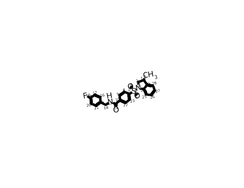 CC1CN(S(=O)(=O)c2ccc(C(=O)NCc3ccc(F)cc3)cc2)c2ccccc21